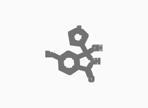 O=C1NC(O)(c2ccsc2)c2cc(Br)ccc21